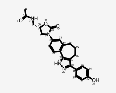 CC(=O)NC[C@H]1CN(c2ccc3c(c2)CCCc2c(-c4ccc(O)cc4)n[nH]c2-3)C(=O)O1